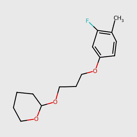 Cc1ccc(OCCCOC2CCCCO2)cc1F